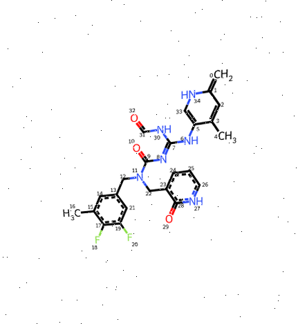 C=C1C=C(C)C(N/C(=N/C(=O)N(Cc2cc(C)c(F)c(F)c2)Cc2ccc[nH]c2=O)NC=O)=CN1